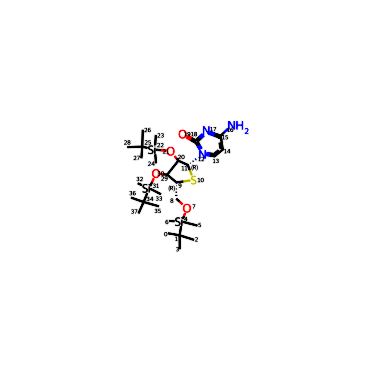 CC(C)(C)[Si](C)(C)OC[C@H]1S[C@@H](n2ccc(N)nc2=O)C(O[Si](C)(C)C(C)(C)C)C1O[Si](C)(C)C(C)(C)C